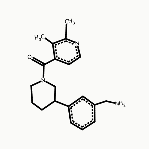 Cc1nccc(C(=O)N2CCCC(c3cccc(CN)c3)C2)c1C